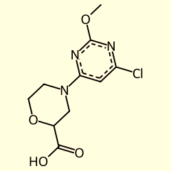 COc1nc(Cl)cc(N2CCOC(C(=O)O)C2)n1